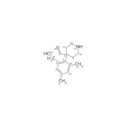 Cc1cc(C)c(C2(C=O)CCNCC2)c(C)c1.Cl